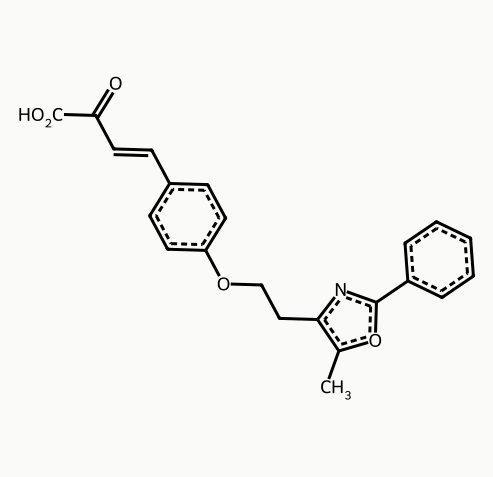 Cc1oc(-c2ccccc2)nc1CCOc1ccc(/C=C/C(=O)C(=O)O)cc1